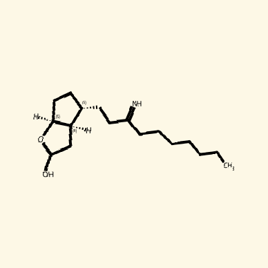 CCCCCCCC(=N)CC[C@H]1CC[C@@H]2OC(O)C[C@H]12